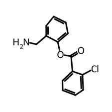 NCc1ccccc1OC(=O)c1ccccc1Cl